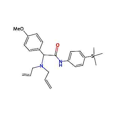 C=CCN(CC=C)C(C(=O)Nc1ccc([Si](C)(C)C)cc1)c1ccc(OC)cc1